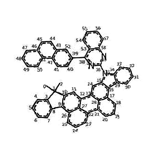 CC1(C)c2ccccc2-c2c1cc1c3cc4c(c5cccc(c6cccc2c61)c35)c1ccccc1n4-c1nc(-c2ccc3c(ccc4ccccc43)c2)c2ccccc2n1